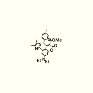 CCN(CC)c1cc(-c2nc(C)c(C)s2)c2c(Cc3ccc(C)cc3)c(C(=O)OC)c(=O)oc2c1